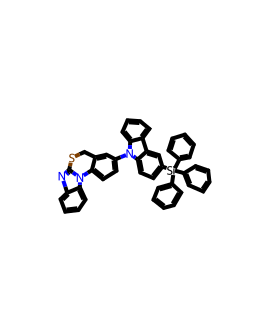 c1ccc([Si](c2ccccc2)(c2ccccc2)c2ccc3c(c2)c2ccccc2n3-c2ccc3c(c2)CSc2nc4ccccc4n2-3)cc1